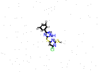 CSc1nc(Cl)cc(Sc2nc(-c3cc(C)cc(C)c3)n[nH]2)n1